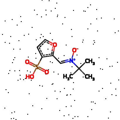 CC(C)(C)[N+]([O-])=Cc1occc1S(=O)(=O)O